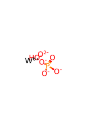 O=P([O-])([O-])[O-].[O-2].[OH-].[W+6]